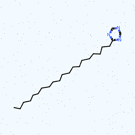 CCCCCCCCCCCCCCCCCCC[CH]c1ncncn1